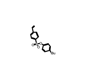 C=Cc1ccc(S(=O)(=O)Oc2ccc(C(C)CC)cc2)cc1